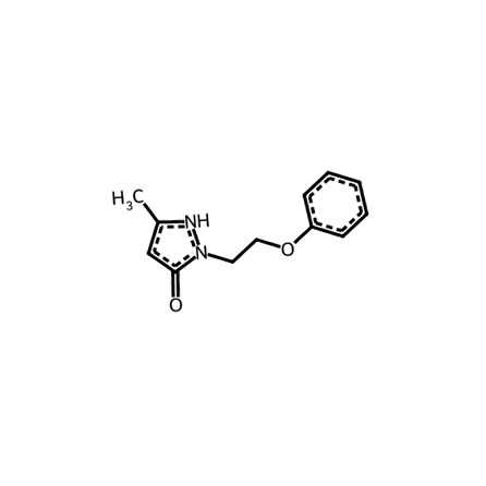 Cc1cc(=O)n(CCOc2ccccc2)[nH]1